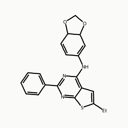 CCc1cc2c(NC3=CC4OCOC4C=C3)nc(-c3ccccc3)nc2s1